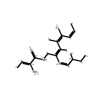 C\C=C/C(Cl)=C(C)\C(C)=C(CNC(=O)/C(N)=C/C)\N=C/C(C)CC